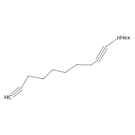 C#CCCCCC[CH]C#CCCCCCC